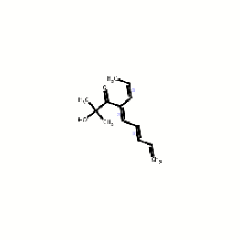 C=C/C=C/C=C(\C=C/C)C(=O)C(C)(C)O